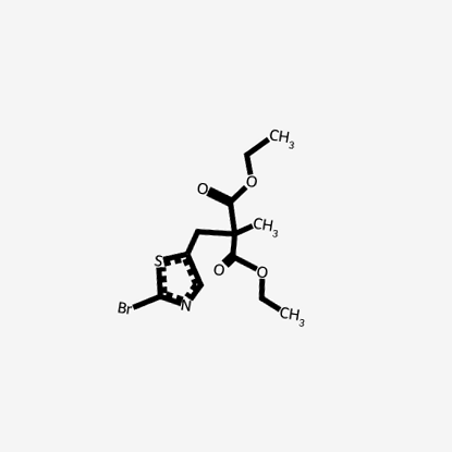 CCOC(=O)C(C)(Cc1cnc(Br)s1)C(=O)OCC